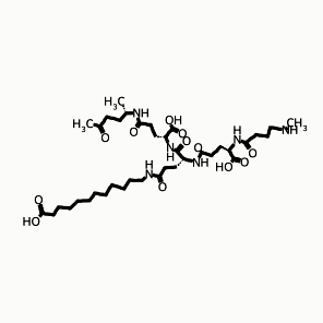 CNCCCC(=O)N[C@H](CCC(=O)N[C@H](CCC(=O)NCCCCCCCCCCCC(=O)O)C(=O)N[C@H](CCC(=O)N[C@@H](C)CCC(C)=O)C(=O)O)C(=O)O